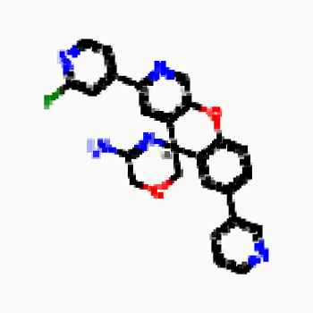 NC1=N[C@@]2(COC1)c1cc(-c3cccnc3)ccc1Oc1cnc(-c3ccnc(F)c3)cc12